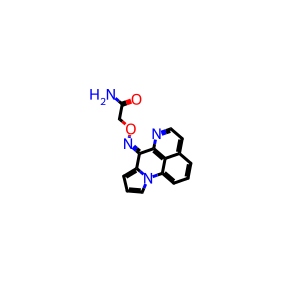 NC(=O)CON=c1c2nccc3cccc(c32)n2cccc12